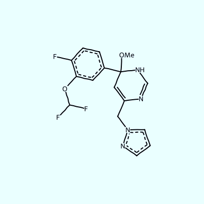 COC1(c2ccc(F)c(OC(F)F)c2)C=C(Cn2cccn2)N=CN1